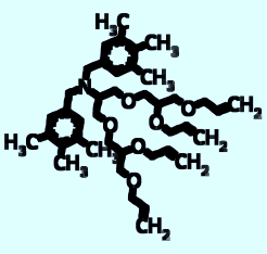 C=CCOCC(COCC(COCC(COCC=C)OCC=C)N(Cc1cc(C)c(C)c(C)c1)Cc1cc(C)c(C)c(C)c1)OCC=C